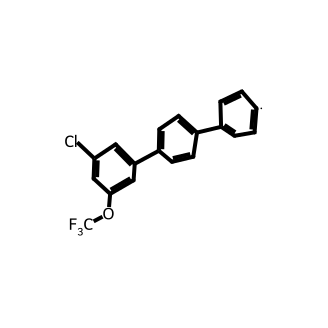 FC(F)(F)Oc1cc(Cl)cc(-c2ccc(-c3cc[c]cc3)cc2)c1